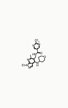 CCn1ncc2c(NC3CCOCC3)c(CNC(=O)c3cnc(C(F)(F)F)nc3)c(C)nc21